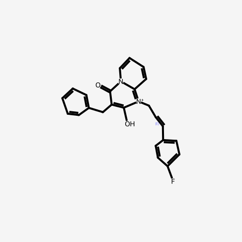 O=c1c(Cc2ccccc2)c(O)[n+](C/C=C/c2ccc(F)cc2)c2ccccn12